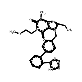 CCc1nc2c(c(=O)n(CCOC)c(=O)n2C)n1Cc1ccc(-c2ccccc2-c2nnn[nH]2)cc1